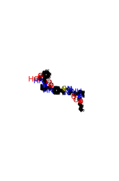 CCCCOC(=O)N1CCC[C@H]1C(=O)Nc1cn2cc(-c3ccc(NC(=O)[C@@H]4CCCN4C(=O)[C@H](NC(=O)O)c4ccccc4)cc3)sc2n1